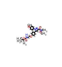 COc1ccc(-n2nc(C(=O)N(C)OC)cc2-c2ccc(OCCNC(=O)OC(C)(C)C)cc2)cc1